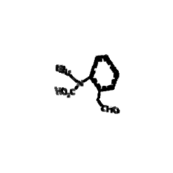 CC(C)(C)N(C(=O)O)c1ccccc1CC=O